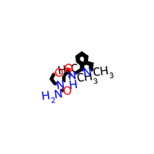 Cc1cc2ccccc2c(C(C)(C)NC(=O)C2CN(C(N)=O)CCCO2)n1